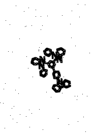 c1ccc(-n2c(-c3cc(-c4ccc(-n5c6ccccc6c6ccccc65)cc4)cc(-c4nc5ccccc5n4-c4ccccc4)c3)nc3ccccc32)cc1